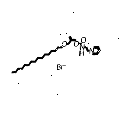 C=C(COCCCCCCCCCCCCCCCC)COC(=O)NCC[n+]1ccccc1.[Br-]